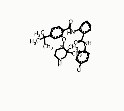 CC(C)(C)c1ccc(C(=O)Nc2ccccc2C(=O)Nc2ccc(Cl)cn2)c(O[C@@H]2CCNCC2(C)C)c1